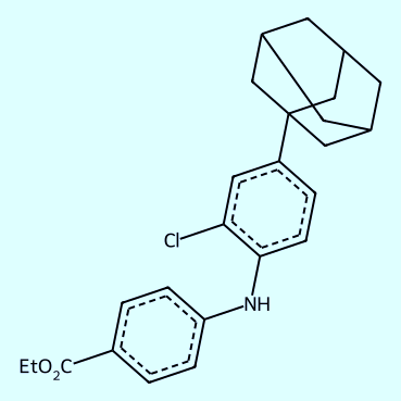 CCOC(=O)c1ccc(Nc2ccc(C34CC5CC(CC(C5)C3)C4)cc2Cl)cc1